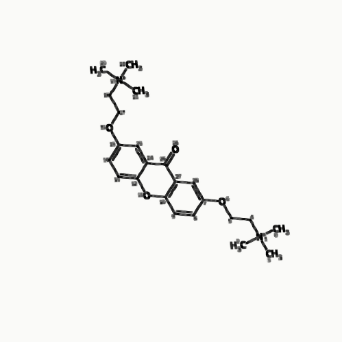 C[N+](C)(C)CCOc1ccc2oc3ccc(OCC[N+](C)(C)C)cc3c(=O)c2c1